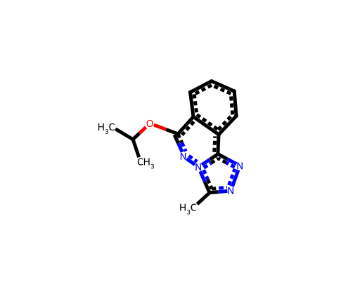 Cc1nnc2c3ccccc3c(OC(C)C)nn12